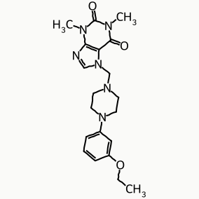 CCOc1cccc(N2CCN(Cn3cnc4c3c(=O)n(C)c(=O)n4C)CC2)c1